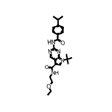 CCOCCNC(=O)c1cn(C(C)(C)C)c2nc(NC(=O)c3ccc(C(C)C)cc3)ncc12